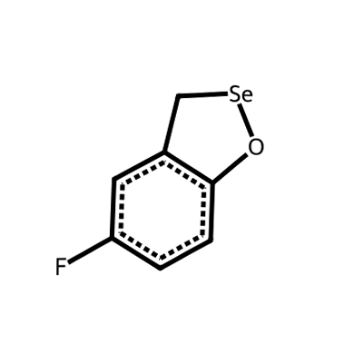 Fc1ccc2c(c1)C[Se]O2